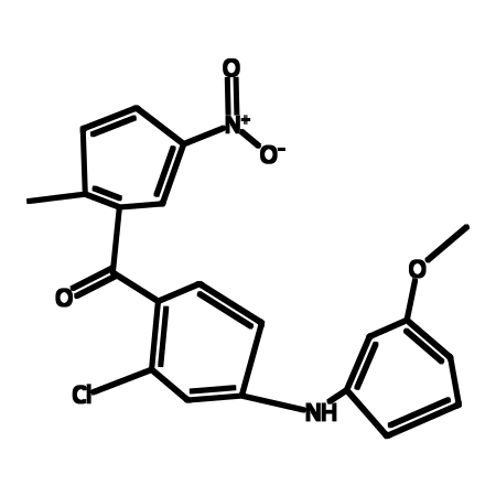 COc1cccc(Nc2ccc(C(=O)c3cc([N+](=O)[O-])ccc3C)c(Cl)c2)c1